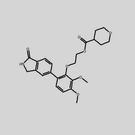 COc1ccc(-c2ccc3c(c2)CNC3=O)c(OCCOC(=O)C2CCOCC2)c1OC